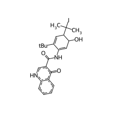 CC(C)(C)C1=CC(C(C)(C)I)C(O)C=C1NC(=O)c1c[nH]c2ccccc2c1=O